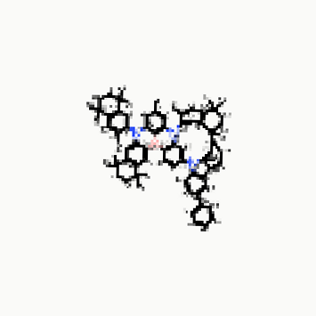 Cc1cc2c3c(c1)N(c1cc4c(cc1C)C(C)(C)CCC4(C)C)c1cc4c(cc1B3c1ccc3cc1N2c1cc2c(cc1C)C(C)(C)CCC2(C)C1CCC2(C)c5cc(-c6ccccc6)ccc5N3C2(C)C1)C(C)(C)CCC4(C)C